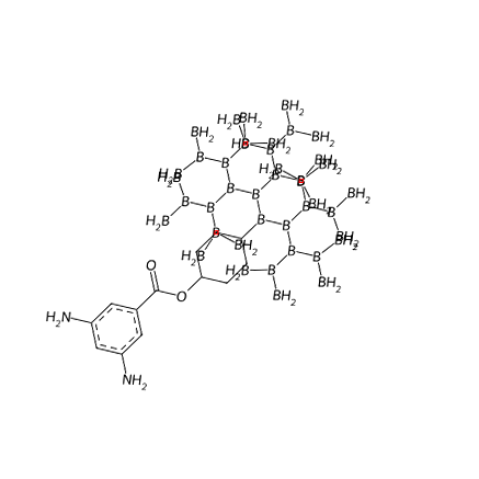 BBB(B(B)B)B(B(B)B)B(B(B(B(B)B)B(B)B)B(B(B)B)B(B)B)B(B(B(B(B)B)B(B)B)B(B(B)B)B(B)B)C1CCC(OC(=O)c2cc(N)cc(N)c2)CC1